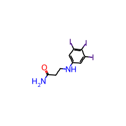 NC(=O)CCNc1cc(I)c(I)c(I)c1